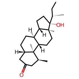 CC[C@H](C)[C@]1(O)CC[C@H]2[C@@H]3CC[C@H]4CC(=O)C[C@H](C)[C@]4(C)[C@H]3CC[C@@]21C